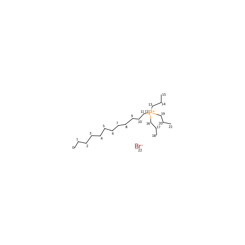 CCCCCCCCCCCC[P+](CCC)(CCC)CCC.[Br-]